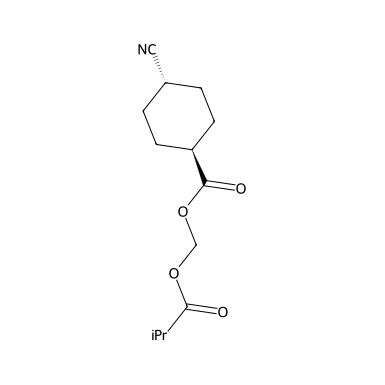 CC(C)C(=O)OCOC(=O)[C@H]1CC[C@H](C#N)CC1